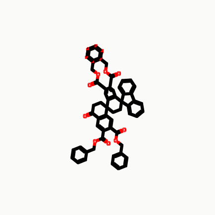 O=C(OCc1ccccc1)c1cc2c(cc1C(=O)OCc1ccccc1)C1(CCC2=O)CCC2(c3ccccc3-c3ccccc32)c2cc(C(=O)OCc3ccccc3)c(C(=O)OCc3ccccc3)cc21